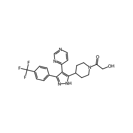 O=C(CO)N1CCC(c2[nH]nc(-c3ccc(C(F)(F)F)cc3)c2-c2ccncn2)CC1